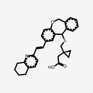 O=C(O)CC1(CSC2c3ccccc3COc3ccc(/C=C/c4ccc5c(n4)CCCC5)cc32)CC1